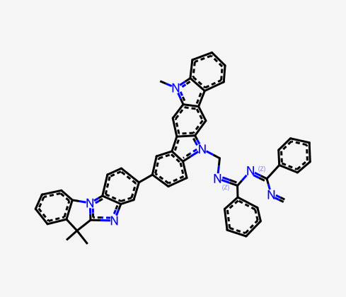 C=N/C(=N\C(=N/Cn1c2ccc(-c3ccc4c(c3)nc3n4-c4ccccc4C3(C)C)cc2c2cc3c(cc21)c1ccccc1n3C)c1ccccc1)c1ccccc1